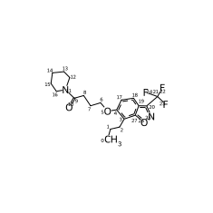 CCCc1c(OCCCC(=O)N2CCCCC2)ccc2c(C(F)(F)F)noc12